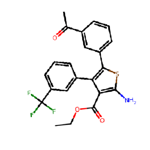 CCOC(=O)c1c(N)sc(-c2cccc(C(C)=O)c2)c1-c1cccc(C(F)(F)F)c1